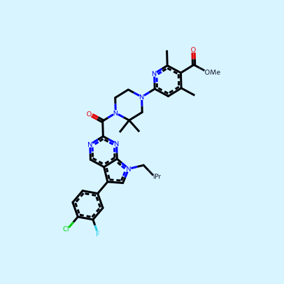 COC(=O)c1c(C)cc(N2CCN(C(=O)c3ncc4c(-c5ccc(Cl)c(F)c5)cn(CC(C)C)c4n3)C(C)(C)C2)nc1C